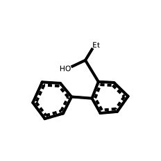 [CH2]CC(O)c1ccccc1-c1ccccc1